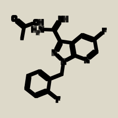 CC(=O)O.N=C(N)c1nn(Cc2ccccc2F)c2ncc(F)cc12